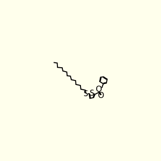 CCCCCCCCCCCCCCSc1ccc(C(=O)OCc2ccccc2)s1